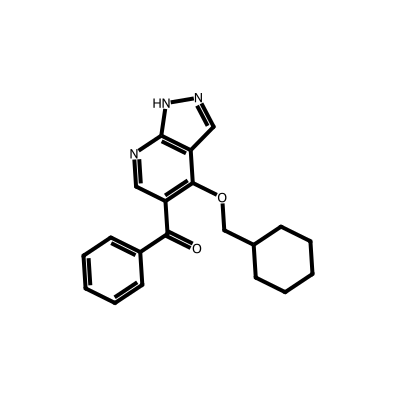 O=C(c1ccccc1)c1cnc2[nH]ncc2c1OCC1CCCCC1